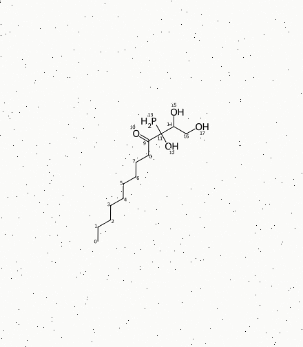 CCCCCCCCCC(=O)C(O)(P)C(O)CO